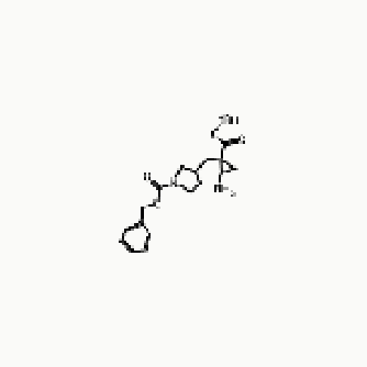 CC(C)(C)OC(=O)C1(CC2CCN(C(=O)OCc3ccccc3)C2)CC1N